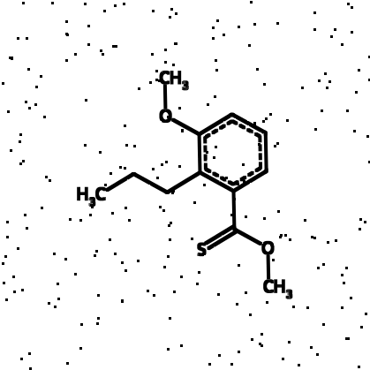 CCCc1c(OC)cccc1C(=S)OC